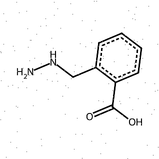 NNCc1ccccc1C(=O)O